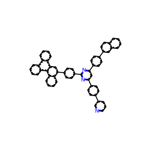 c1cncc(-c2ccc(-c3cc(-c4ccc(-c5ccc6ccccc6c5)cc4)nc(-c4ccc(-c5cc6c7ccccc7c7ccccc7c6c6ccccc56)cc4)n3)cc2)c1